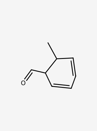 CC1C=CC=CC1C=O